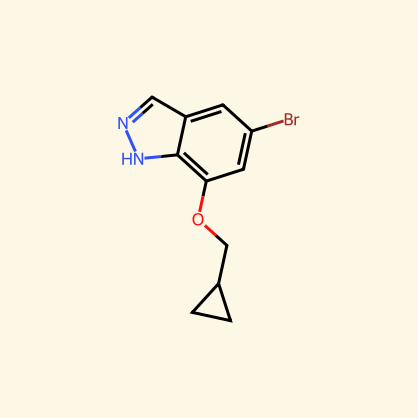 Brc1cc(OCC2CC2)c2[nH]ncc2c1